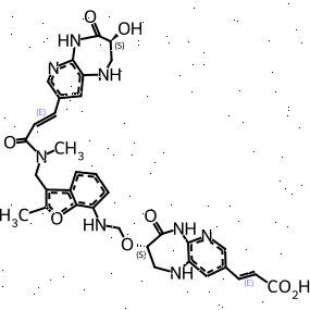 Cc1oc2c(NCO[C@H]3CNc4cc(/C=C/C(=O)O)cnc4NC3=O)cccc2c1CN(C)C(=O)/C=C/c1cnc2c(c1)NC[C@H](O)C(=O)N2